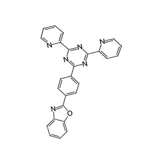 c1ccc(-c2nc(-c3ccc(-c4nc5ccccc5o4)cc3)nc(-c3ccccn3)n2)nc1